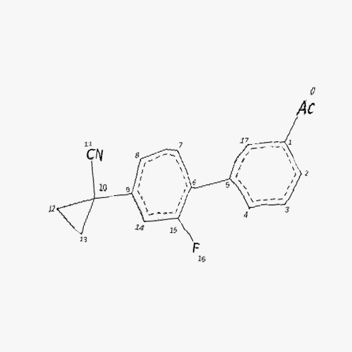 CC(=O)c1cccc(-c2ccc(C3(C#N)CC3)cc2F)c1